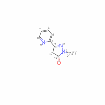 CCCN1N=C(c2ccccn2)CC1=O